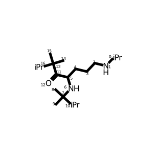 CC(C)NCCCC(NC(C)(C)C(C)C)C(=O)C(C)(C)C(C)C